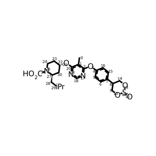 Cc1c(Oc2ccc(C3COS(=O)OC3)cc2)ncnc1O[C@H]1CCN(C(=O)O)[C@H](CC(C)C)C1